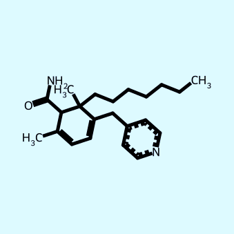 CCCCCCCC1(C)C(Cc2ccncc2)=CC=C(C)C1C(N)=O